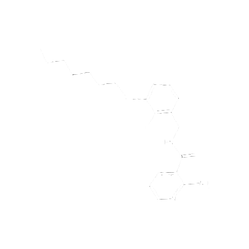 CCCCCCCOc1cccc(CNC(=O)c2cccnc2N)c1F